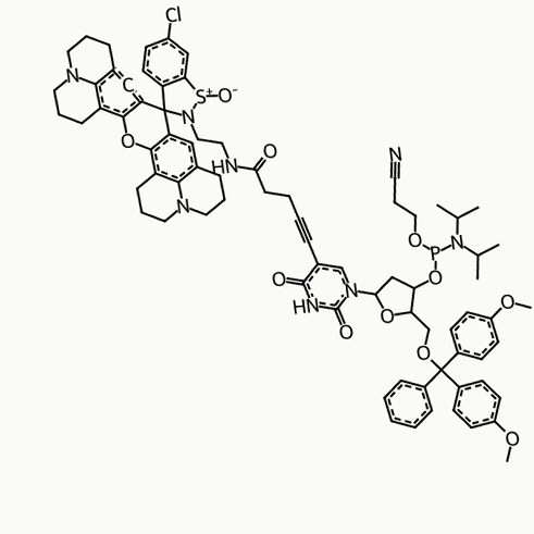 COc1ccc(C(OCC2OC(n3cc(C#CCCC(=O)NCCN4[S+]([O-])c5cc(Cl)ccc5C45c4cc6c7c(c4Oc4c5cc5c8c4CCCN8CCC5)CCCN7CCC6)c(=O)[nH]c3=O)CC2OP(OCCC#N)N(C(C)C)C(C)C)(c2ccccc2)c2ccc(OC)cc2)cc1